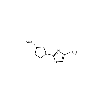 CO[C@H]1CCN(c2nc(C(=O)O)co2)C1